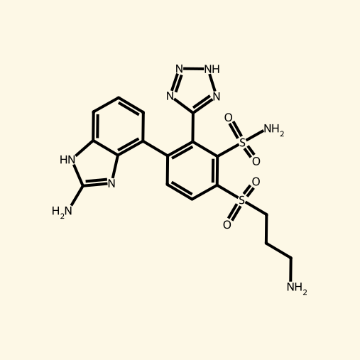 NCCCS(=O)(=O)c1ccc(-c2cccc3[nH]c(N)nc23)c(-c2nn[nH]n2)c1S(N)(=O)=O